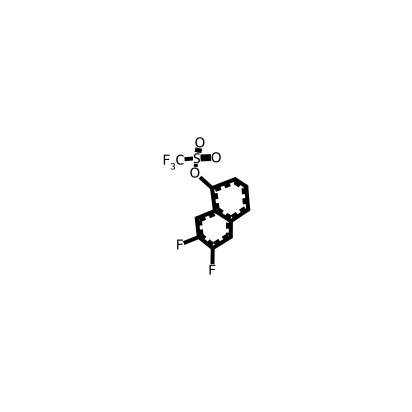 O=S(=O)(Oc1cccc2cc(F)c(F)cc12)C(F)(F)F